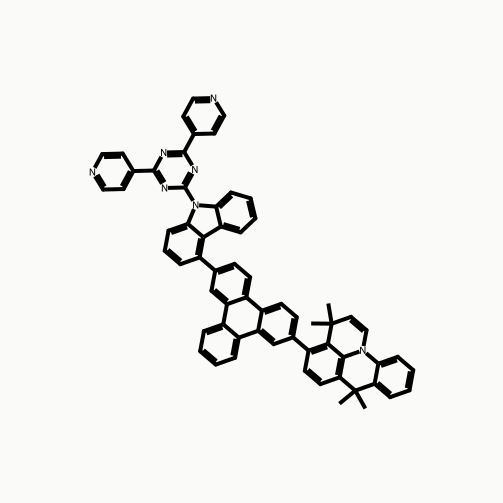 CC1(C)C=CN2c3ccccc3C(C)(C)c3ccc(-c4ccc5c6ccc(-c7cccc8c7c7ccccc7n8-c7nc(-c8ccncc8)nc(-c8ccncc8)n7)cc6c6ccccc6c5c4)c1c32